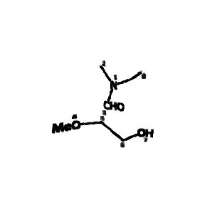 CN(C)C=O.COCCO